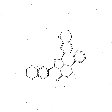 O=C1OC[C@H](c2ccccc2)N2C1[C@@H](c1ccc3c(c1)OCCO3)O[C@H]2c1ccc2c(c1)OCCO2